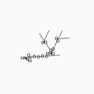 CCCCCCCCC(CCCCCC)C(=O)OCCCCCCOCC(OCCCCCCOC(=O)C(CCCCCC)CCCCCCCC)C(=O)NC(CCCCCCC)CCOCCOCCOCCOCCNC(=O)c1c[nH]cn1